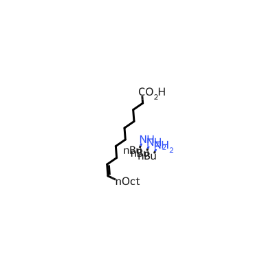 CCCCCCCC/C=C\CCCCCCCC(=O)O.CCCCN.CCCCN.CCCCN